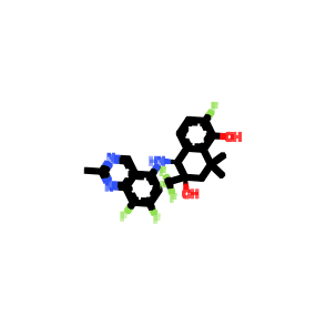 Cc1ncc2c(N[C@H]3c4ccc(F)c(O)c4C(C)(C)C[C@]3(O)C(F)(F)F)cc(F)c(F)c2n1